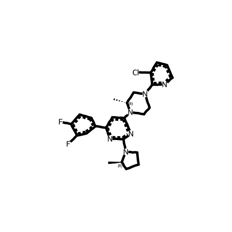 C[C@@H]1CN(c2ncccc2Cl)CCN1c1cc(-c2ccc(F)c(F)c2)nc(N2CCC[C@H]2C)n1